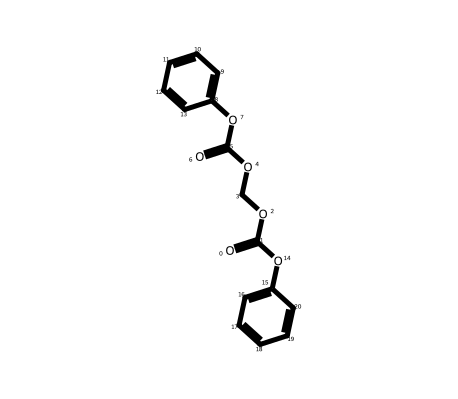 O=C(OCOC(=O)Oc1ccccc1)Oc1ccccc1